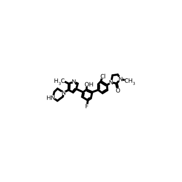 Cc1ncc(-c2cc(F)cc(-c3ccc(N4CCN(C)C4=O)c(Cl)c3)c2O)cc1N1CCNCC1